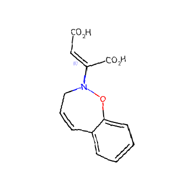 O=C(O)/C=C(\C(=O)O)N1CC=Cc2ccccc2O1